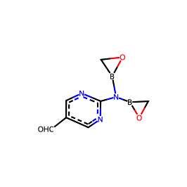 O=Cc1cnc(N(B2CO2)B2CO2)nc1